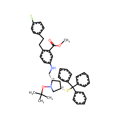 COC(=O)c1cc(NC[C@@H]2C[C@H](SC(c3ccccc3)(c3ccccc3)c3ccccc3)CN2OC(C)(C)C)ccc1CCc1ccc(F)cc1